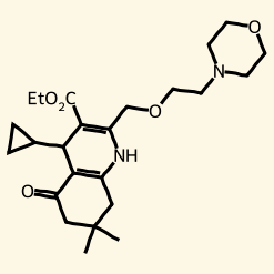 CCOC(=O)C1=C(COCCN2CCOCC2)NC2=C(C(=O)CC(C)(C)C2)C1C1CC1